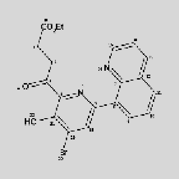 CCOC(=O)CCC(=O)c1nc(-c2cccc3cccnc23)cc(Br)c1O